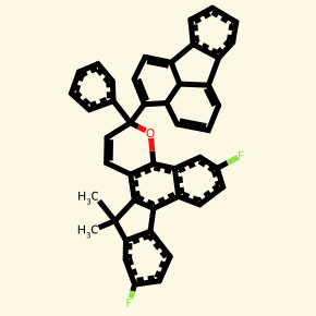 CC1(C)c2cc(F)ccc2-c2c1c1c(c3cc(F)ccc23)OC(C2=CC=C3c4ccccc4C4=CC=CC2C43)(c2ccccc2)C=C1